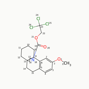 COc1ccc2c(c1)C13CCCCC1(CC2)CCN3C(=O)OCC(Cl)(Cl)Cl